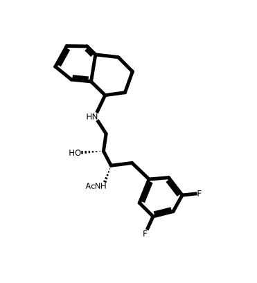 CC(=O)N[C@@H](Cc1cc(F)cc(F)c1)[C@H](O)CNC1CCCc2ccccc21